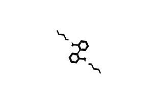 CCCCOC(=O)c1ccccc1-c1ccccc1C(=O)OCCCC